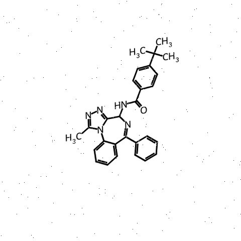 Cc1nnc2n1-c1ccccc1C(c1ccccc1)=NC2NC(=O)c1ccc(C(C)(C)C)cc1